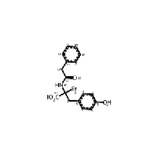 CCC(Cc1ccc(O)cc1)(NC(=O)Cc1ccccc1)C(=O)O